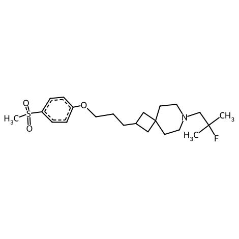 CC(C)(F)CN1CCC2(CC1)CC(CCCOc1ccc(S(C)(=O)=O)cc1)C2